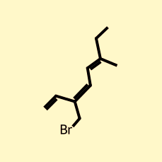 C=C/C(=C\C=C(/C)CC)CBr